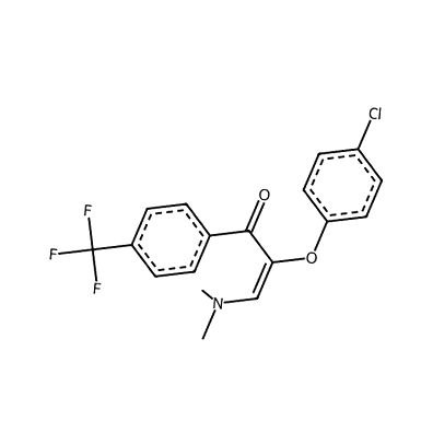 CN(C)/C=C(/Oc1ccc(Cl)cc1)C(=O)c1ccc(C(F)(F)F)cc1